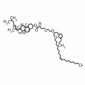 CCCCCCCC/C=C\CCCCCCCCOCC(CN1CC[C@@H](CCC)C1)OCCOCCNC(=O)OC1CC[C@@]2(C)C(=CC[C@H]3C2CC[C@@]2(C)C3CC[C@@H]2[C@H](C)CCCC(C)C)C1